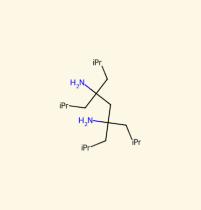 CC(C)CC(N)(CC(C)C)CC(N)(CC(C)C)CC(C)C